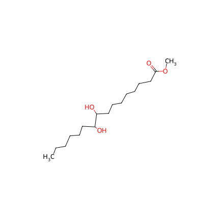 CCCCCCC(O)C(O)CCCCCCCC(=O)OC